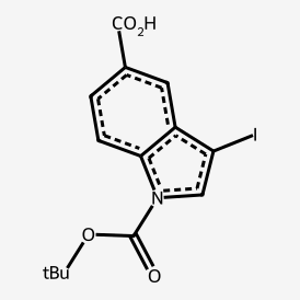 CC(C)(C)OC(=O)n1cc(I)c2cc(C(=O)O)ccc21